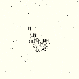 Cc1cc(C#N)cnc1C(=O)Nc1ccc2c(c1)[C@@]1(CF)N=C(N)C(C)(C)S(=O)(=O)[C@H]1CCO2